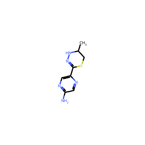 CC1CSC(c2cnc(N)cn2)=NN1